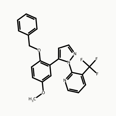 COc1ccc(OCc2ccccc2)c(-c2ccnn2-c2ncccc2C(F)(F)F)c1